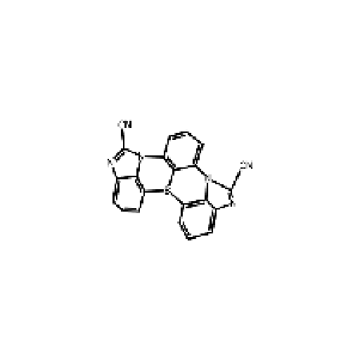 N#Cc1nc2cccc3c2n1-c1cccc2c1B3c1cccc3nc(C#N)n-2c13